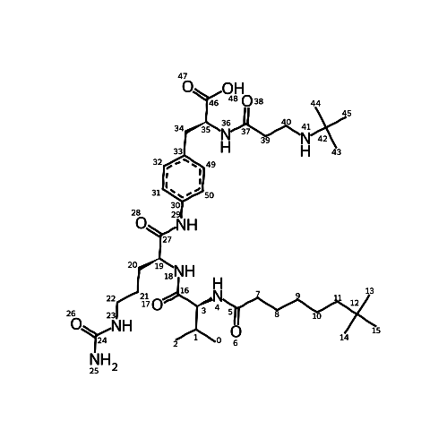 CC(C)[C@H](NC(=O)CCCCCC(C)(C)C)C(=O)N[C@@H](CCCNC(N)=O)C(=O)Nc1ccc(C[C@H](NC(=O)CCNC(C)(C)C)C(=O)O)cc1